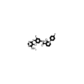 Nc1ncnc(Sc2ccc(NC(=O)c3cccn(-c4ccc(F)cc4)c3=O)cc2F)c1Cl